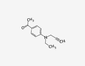 C#CCN(CC)c1ccc(C(C)=O)cc1